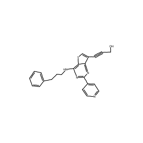 OCC#Cc1csc2c(NCCCc3ccccc3)nc(-c3ccncc3)nc12